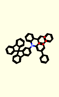 c1ccc(-c2cc(-c3ccccc3)cc(N(c3ccc4c(c3)C3(c5ccccc5-c5ccccc53)c3ccccc3-4)c3ccccc3-c3ccccc3)c2)cc1